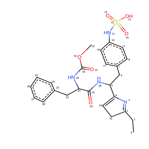 CCC1=NC(C(Cc2ccc(NS(=O)(=O)O)cc2)NC(=O)C(Cc2ccccc2)NC(=O)OC)=CC1